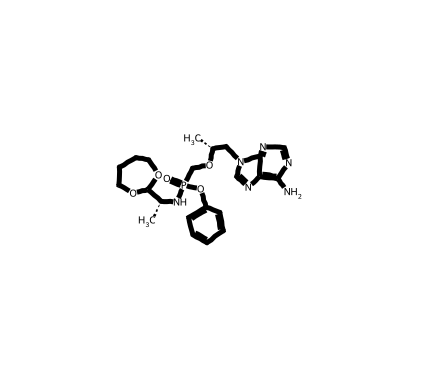 C[C@H](Cn1cnc2c(N)ncnc21)OCP(=O)(N[C@H](C)C1OCCCCO1)Oc1ccccc1